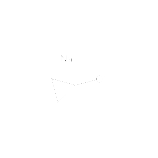 [Na+].[O-]C1CC1